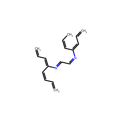 C=C\C=C/C(=C\C=C)/N=C/C=N\C(\C=C/C)=C\C=C